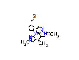 C=C(c1cn(C)nc1NC1CCC(CCS)C1)c1cn(CC)c2ncccc12